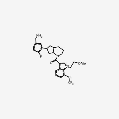 COCCn1cc(C(=O)N2CCCC3CC(c4cc(CN)ccc4F)CC32)c2cccc(OC(F)(F)F)c21